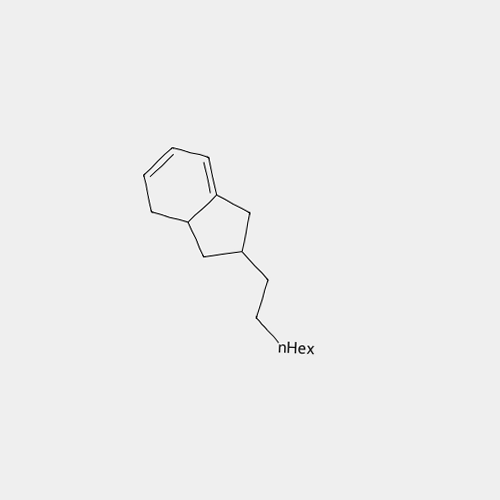 CCCCCCCCC1CC2=CC=CCC2C1